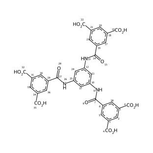 O=C(O)c1cc(C(=O)O)cc(C(=O)Nc2cc(NC(=O)c3cc(C(=O)O)cc(C(=O)O)c3)cc(NC(=O)c3cc(C(=O)O)cc(C(=O)O)c3)c2)c1